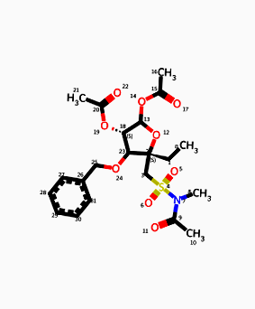 CC[C@]1(CS(=O)(=O)N(C)C(C)=O)OC(OC(C)=O)[C@@H](OC(C)=O)C1OCc1ccccc1